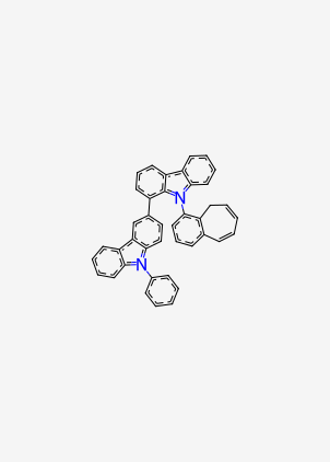 C1=CCc2c(cccc2-n2c3ccccc3c3cccc(-c4ccc5c(c4)c4ccccc4n5-c4ccccc4)c32)C=C1